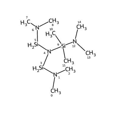 CN(C)[SiH2]N([SiH2]N(C)C)[Si](C)(C)N(C)C